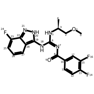 COC[C@H](C)N/C(=N/C(=O)c1ccc(F)c(F)c1)Nc1[nH]nc2c(F)cccc12